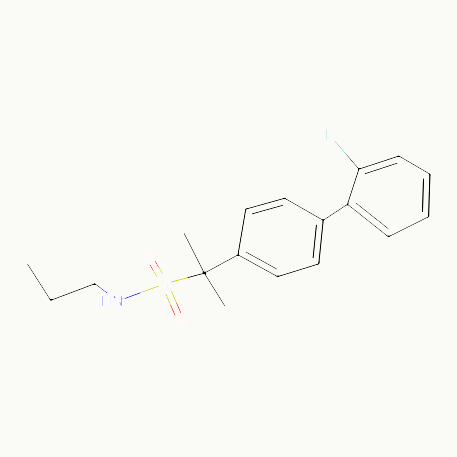 CCCNS(=O)(=O)C(C)(C)c1ccc(-c2ccccc2F)cc1